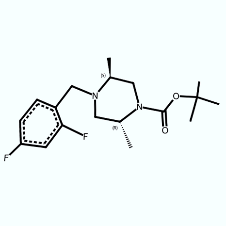 C[C@@H]1CN(Cc2ccc(F)cc2F)[C@@H](C)CN1C(=O)OC(C)(C)C